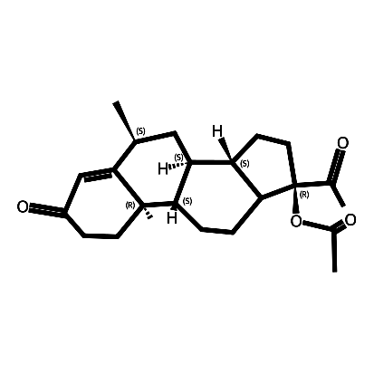 CC(=O)O[C@]1(C(C)=O)CC[C@@H]2C1CC[C@H]1[C@H]2C[C@H](C)C2=CC(=O)CC[C@@]21C